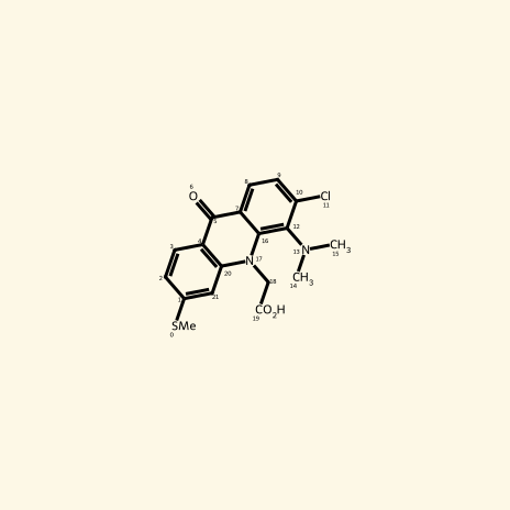 CSc1ccc2c(=O)c3ccc(Cl)c(N(C)C)c3n(CC(=O)O)c2c1